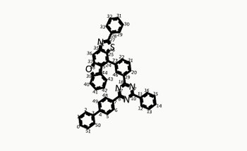 c1ccc(-c2ccc(-c3nc(-c4ccccc4)nc(-c4cccc(-c5c6sc(-c7ccccc7)nc6cc6oc7ccccc7c56)c4)n3)cc2)cc1